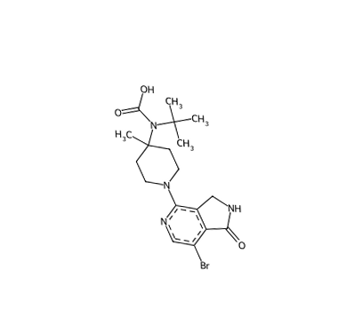 CC(C)(C)N(C(=O)O)C1(C)CCN(c2ncc(Br)c3c2CNC3=O)CC1